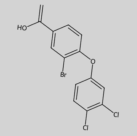 C=C(O)c1ccc(Oc2ccc(Cl)c(Cl)c2)c(Br)c1